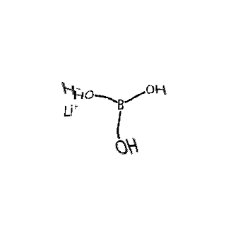 OB(O)O.[H-].[Li+]